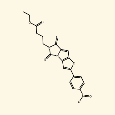 CCOC(=O)CCCN1C(=O)c2cc3oc(-c4ccc([N+](=O)[O-])cc4)cc3n2C1=S